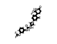 O=C1CCC(c2c(F)cc(N3CC(NC(=O)Nc4cccc(OC(F)F)c4)C3)cc2F)C(=O)N1